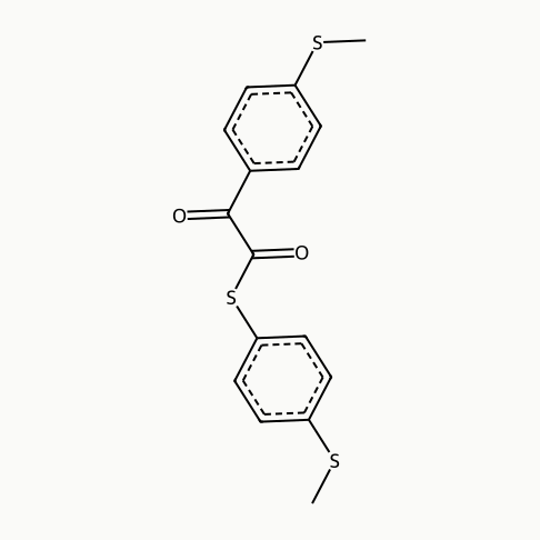 CSc1ccc(SC(=O)C(=O)c2ccc(SC)cc2)cc1